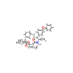 CC(C(CCc1ccccc1)c1ccc(Oc2ccccc2)cc1)N(CC(=O)O)C(=O)CC1COC(C(=O)O)(C(=O)O)O1